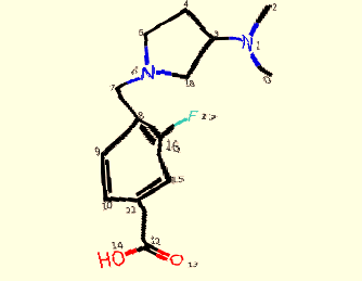 CN(C)C1CCN(Cc2ccc(C(=O)O)cc2F)C1